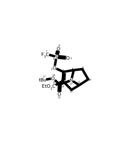 CCOC(=O)C1=C(OS(=O)(=O)C(F)(F)F)C2CCC(C1)N2C(=O)OC(C)(C)C